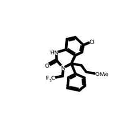 COCCC1(c2ccccc2)c2cc(Cl)ccc2NC(=O)N1CC(F)(F)F